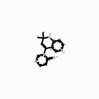 CC1(C)C=C(n2cnccc2=O)c2cnccc2O1